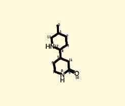 CC1CCC(C2CCNC(=O)C2)NC1